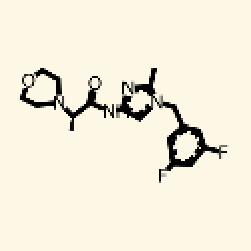 Cc1nc(NC(=O)[C@@H](C)N2CCOCC2)cn1Cc1cc(F)cc(F)c1